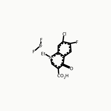 CCn1cc(C(=O)O)c(=O)c2cc(F)c(Cl)cc21.F[B]F